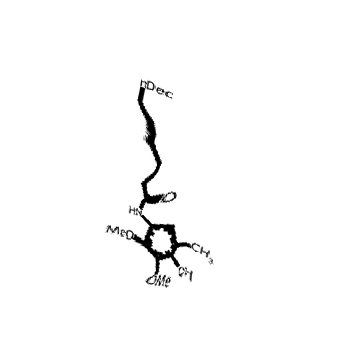 CCCCCCCCCCCCCCCC(=O)Nc1cc(C)c(O)c(OC)c1OC